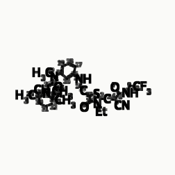 CCn1c(=C=C(C#N)C(=O)NCC(F)(F)F)sc(=C=CNc2cccc(N(C)C(=O)CN3C(C)(C)CCCC3(C)C)c2)c1=O